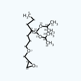 CCCC(CCCOCC1CO1)[SiH](OC(C)C)OC(C)C